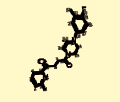 Cc1cccc(C(=O)CCC(=O)N2CCN(c3ccc(F)c(C)c3)CC2)n1